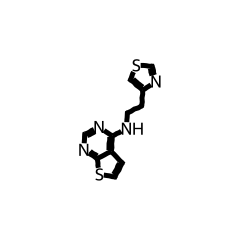 c1nc(NCCc2cscn2)c2ccsc2n1